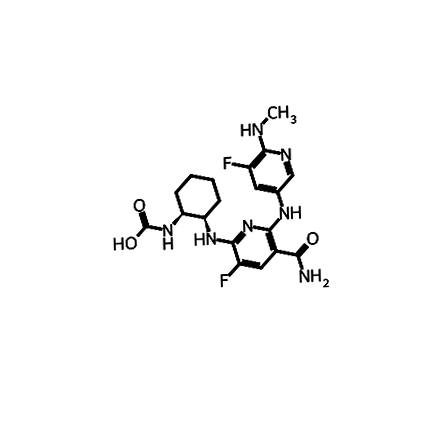 CNc1ncc(Nc2nc(N[C@@H]3CCCC[C@@H]3NC(=O)O)c(F)cc2C(N)=O)cc1F